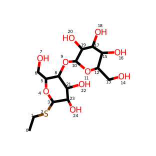 CCSC1OC(CO)C(OC2OC(CO)C(O)C(O)C2O)C(O)C1O